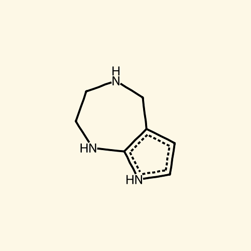 c1cc2c([nH]1)NCCNC2